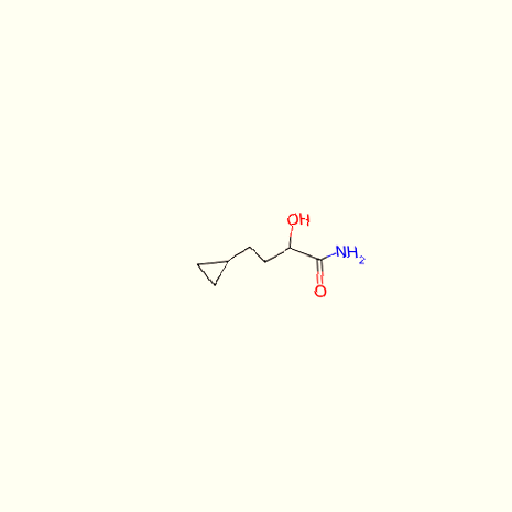 NC(=O)C(O)CCC1CC1